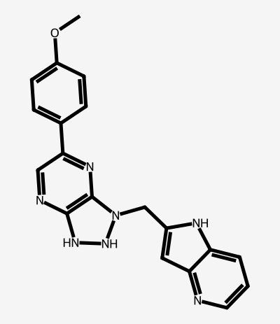 COc1ccc(-c2cnc3c(n2)N(Cc2cc4ncccc4[nH]2)NN3)cc1